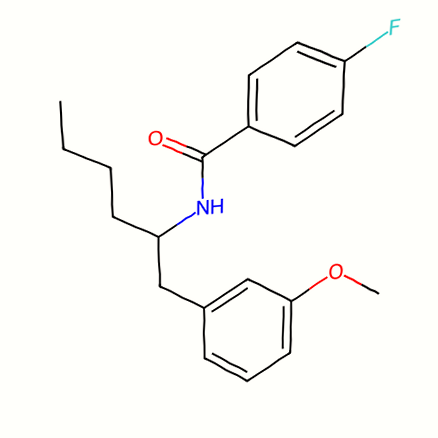 CCCCC(Cc1cccc(OC)c1)NC(=O)c1ccc(F)cc1